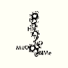 CNC(=O)c1cc(=O)n(CCN2CCC(NCC3=Cc4ccccc4OC3)CC2)c2cc(OC)ccc12